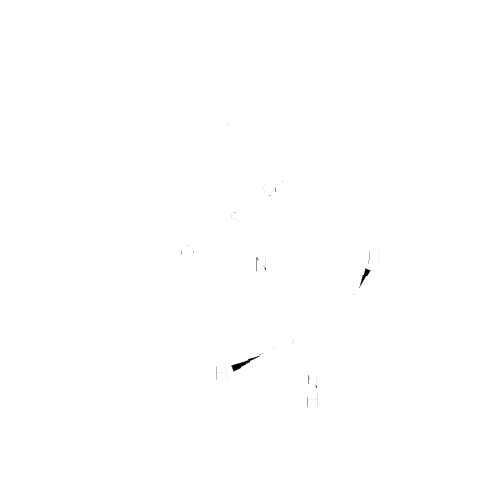 O=S(=O)(c1ccccc1)N1C[C@@H]2CN[C@@H](C2)C1